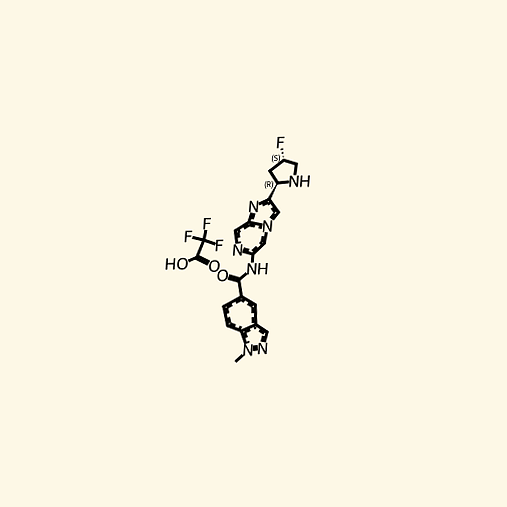 Cn1ncc2cc(C(=O)Nc3cn4cc([C@H]5C[C@H](F)CN5)nc4cn3)ccc21.O=C(O)C(F)(F)F